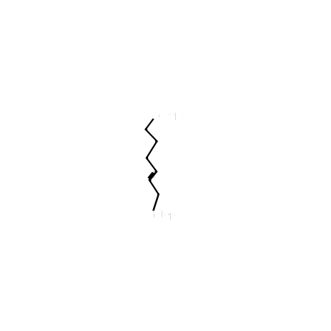 [CH2]CCCCCCCCC/C=C/CCCCCCCC